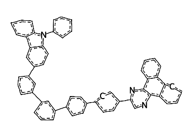 c1ccc(-n2c3ccccc3c3cc(-c4cccc(-c5cccc(-c6ccc(-c7ccc(-c8cnc9c%10ccccc%10c%10ccccc%10c9n8)cc7)cc6)c5)c4)ccc32)cc1